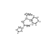 COC1OC(c2cccs2)=Nc2ccccc21